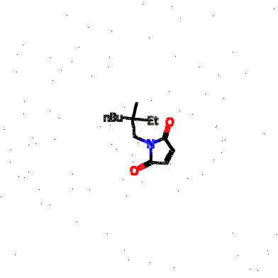 CCCCC(C)(CC)CN1C(=O)C=CC1=O